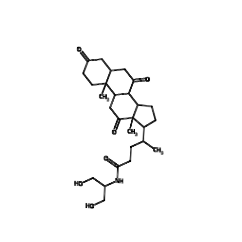 CC(CCC(=O)NC(CO)CO)C1CCC2C3C(=O)CC4CC(=O)CCC4(C)C3CC(=O)C12C